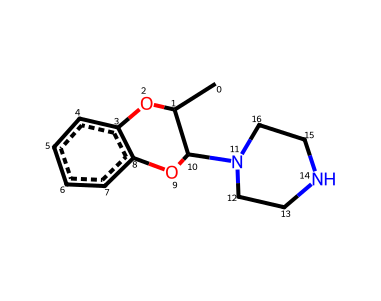 CC1Oc2ccccc2OC1N1CCNCC1